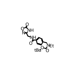 CCN(Cc1ccc(C(=O)NCc2noc(=O)[nH]2)cc1)C(=O)OC(C)(C)C